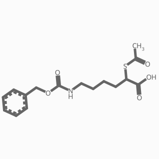 CC(=O)SC(CCCCNC(=O)OCc1ccccc1)C(=O)O